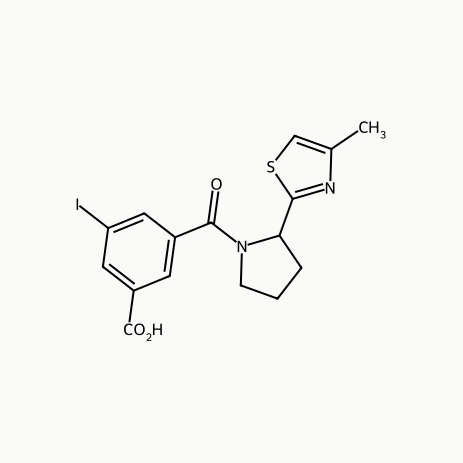 Cc1csc(C2CCCN2C(=O)c2cc(I)cc(C(=O)O)c2)n1